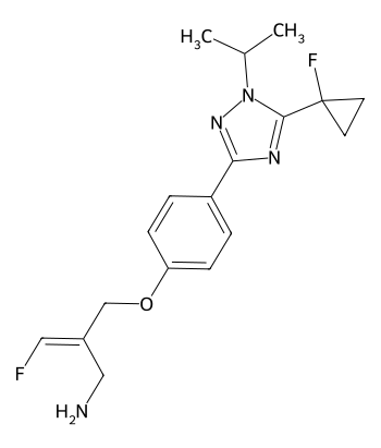 CC(C)n1nc(-c2ccc(OC/C(=C/F)CN)cc2)nc1C1(F)CC1